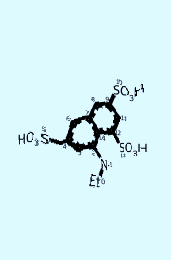 [CH2]C[N]c1cc(S(=O)(=O)O)cc2cc(S(=O)(=O)O)cc(S(=O)(=O)O)c12